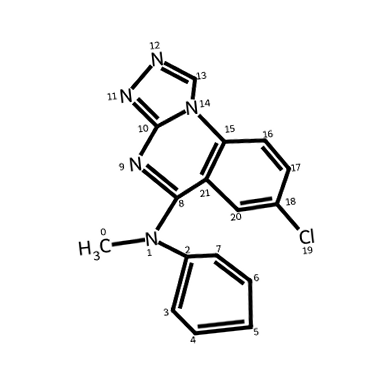 CN(c1ccccc1)c1nc2nncn2c2ccc(Cl)cc12